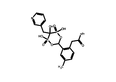 CCCC(=O)Cc1ccc(C)cc1C1OP(=O)(O)C(O)(Cc2cccnc2)P(=O)(O)O1